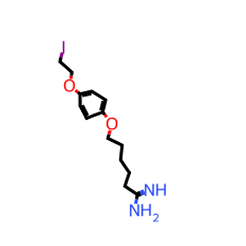 N=C(N)CCCCCOc1ccc(OCCI)cc1